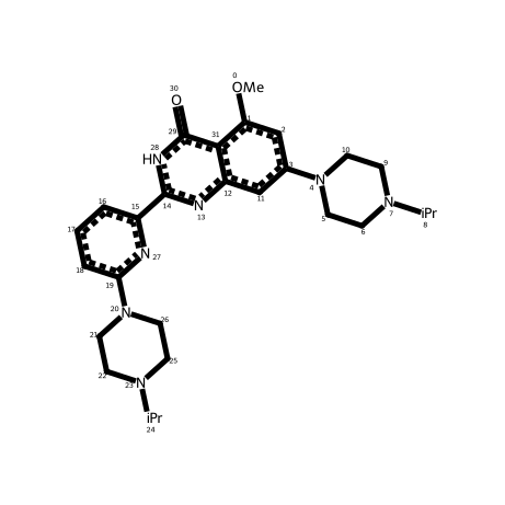 COc1cc(N2CCN(C(C)C)CC2)cc2nc(-c3cccc(N4CCN(C(C)C)CC4)n3)[nH]c(=O)c12